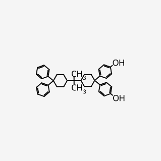 CC(C)(C1CCC(c2ccccc2)(c2ccccc2)CC1)C1CCC(c2ccc(O)cc2)(c2ccc(O)cc2)CC1